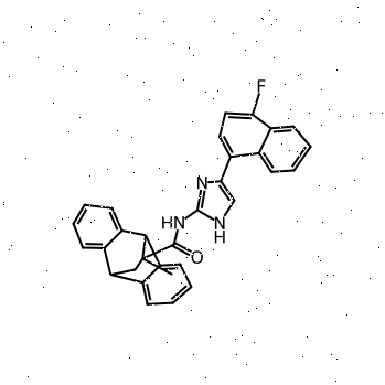 CC1(C(=O)Nc2nc(-c3ccc(F)c4ccccc34)c[nH]2)CC2c3ccccc3C1c1ccccc12